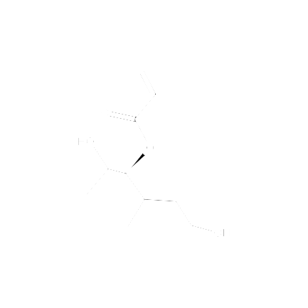 C=CC(=O)O[C@H](C(C)O)C(C)CCO